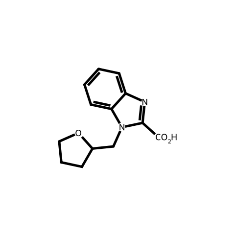 O=C(O)c1nc2ccccc2n1CC1CCCO1